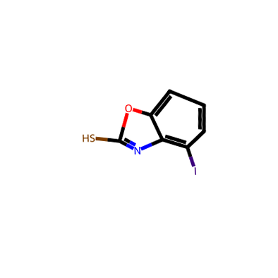 Sc1nc2c(I)cccc2o1